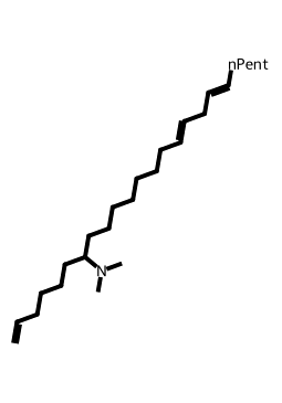 C=CCCCCC(CCCCCCCC=CCC=CCCCCC)N(C)C